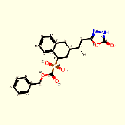 C[C@@H](Cc1n[nH]c(=O)o1)[C@@H]1Cc2ccccc2C(S(=O)(=O)C(=O)OCc2ccccc2)C1